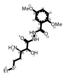 CCSCC[C@@H](N)C(O)C(=O)NNC(=O)c1cc(OC)ccc1OC